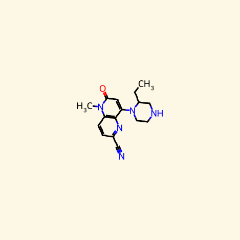 CCC1CNCCN1c1cc(=O)n(C)c2ccc(C#N)nc12